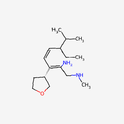 CCC(/C=C\C(=C(/N)CNC)[C@H]1CCOC1)C(C)C